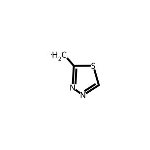 [CH2]c1nncs1